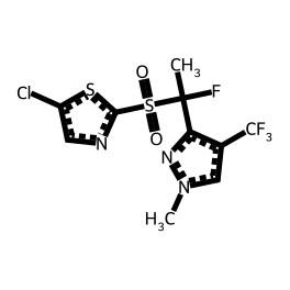 Cn1cc(C(F)(F)F)c(C(C)(F)S(=O)(=O)c2ncc(Cl)s2)n1